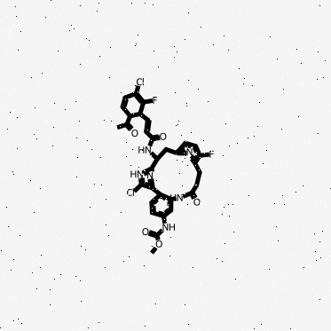 COC(=O)Nc1ccc2c(c1)NC(=O)CCc1nc(ccc1F)CC(NC(=O)/C=C/C1C(F)=C(Cl)C=CC1C(C)=O)c1nc-2c(Cl)[nH]1